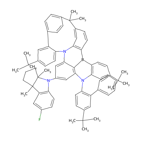 CC(C)(C)c1ccc(N2c3cc(C(C)(C)C)ccc3B3c4ccc5cc4N(c4ccc(C(C)(C)C)cc4-c4ccc(cc4)C5(C)C)c4cc(N5c6ccc(F)cc6C6(C)CCCC56C)cc2c43)c(-c2ccccc2)c1